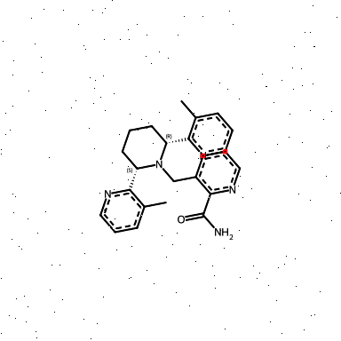 Cc1cccnc1[C@H]1CCC[C@@H](c2ncccc2C)N1Cc1cccnc1C(N)=O